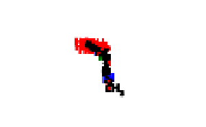 CCCc1cnc(N2CCC(CCCOc3ccc(C(C=O)N4CCN(C[C@H](O)[C@@H](O)[C@H](O)[C@H](O)CO)CC4)c(F)c3)CC2)nc1